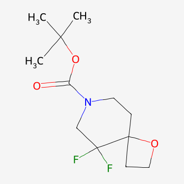 CC(C)(C)OC(=O)N1CCC2(CCO2)C(F)(F)C1